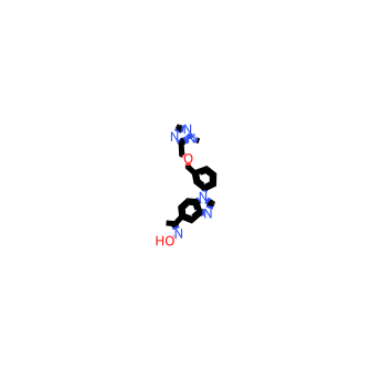 CC(=NO)c1ccc2c(c1)ncn2-c1cccc(COCc2ncnn2C)c1